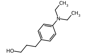 CCN(CC)c1ccc(CCCO)cc1